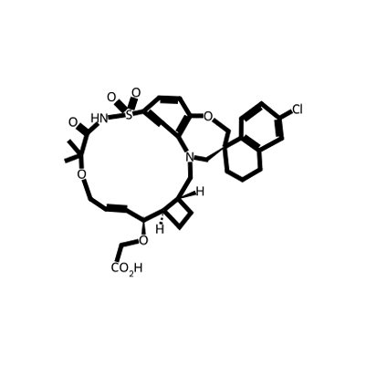 CC1(C)OC/C=C/[C@H](OCC(=O)O)[C@@H]2CC[C@H]2CN2C[C@@]3(CCCc4cc(Cl)ccc43)COc3ccc(cc32)S(=O)(=O)NC1=O